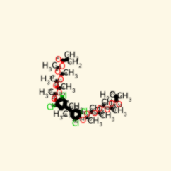 C=C(C)C(=O)OC(C)OC(C)OC(C)OC(C)OC(C)Oc1c(Cl)cc(C(C)(C)c2cc(Cl)c(OC(C)OC(C)OC(C)OC(C)OC(C)OC(=O)C(=C)C)c(Cl)c2)cc1Cl